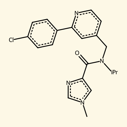 CC(C)N(Cc1ccnc(-c2ccc(Cl)cc2)c1)C(=O)c1cn(C)cn1